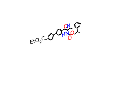 CCOC(=O)Cc1ccc(-c2ccc(-c3onc(C)c3NC(=O)OCC(C)c3ccccc3)cc2)cc1